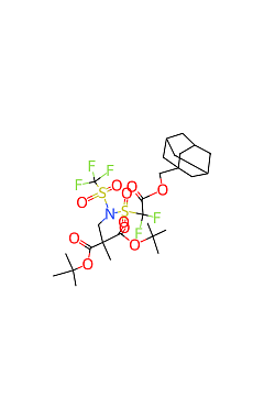 CC(C)(C)OC(=O)C(C)(CN(S(=O)(=O)C(F)(F)F)S(=O)(=O)C(F)(F)C(=O)OCC12CC3CC(CC(C3)C1)C2)C(=O)OC(C)(C)C